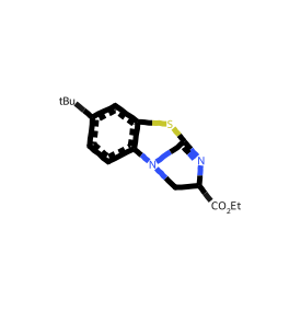 CCOC(=O)C1CN2C(=N1)Sc1cc(C(C)(C)C)ccc12